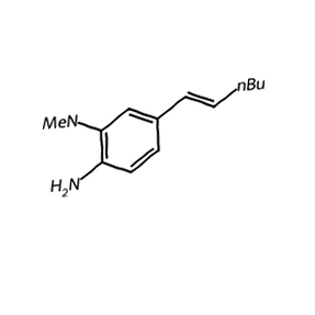 CCCC/C=C/c1ccc(N)c(NC)c1